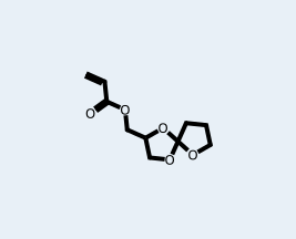 C=CC(=O)OCC1COC2(CCCO2)O1